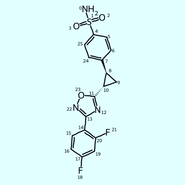 NS(=O)(=O)c1ccc([C@H]2C[C@@H]2c2nc(-c3ccc(F)cc3F)no2)cc1